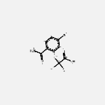 NC(=O)c1ccc(Br)cn1.O=C(O)C(F)(F)F